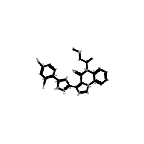 COCC(C)n1c(=O)c2c(-c3noc(-c4ccc(F)cc4F)n3)ncn2c2ccccc21